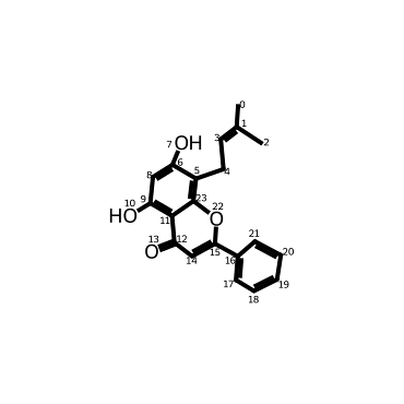 CC(C)=CCc1c(O)cc(O)c2c(=O)cc(-c3ccccc3)oc12